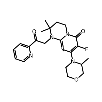 CC1COCCN1c1nc2n(c(=O)c1F)CCC(C)(C)N2CC(=O)c1ccccn1